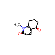 Cn1c2c(ccc1=O)C(=O)CCC2